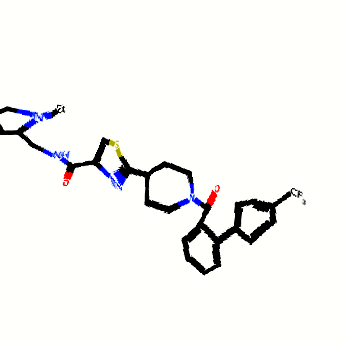 CCN1CCCC1CNC(=O)c1csc(C2CCN(C(=O)c3ccccc3-c3ccc(C(F)(F)F)cc3)CC2)n1